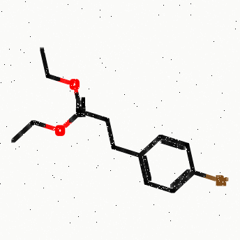 CCO[SiH](CCc1ccc(Br)cc1)OCC